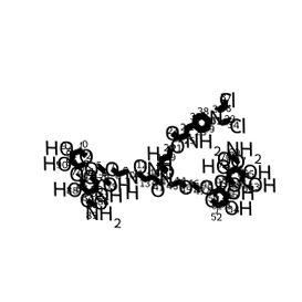 C[C@@H]1O[C@H](OCCOCCNC(=O)CC(NC(=O)CCCOC(=O)[C@H](N)Cc2ccc(N(CCCl)CCCl)cc2)C(=O)NCCOCCO[C@H]2O[C@@H](C)[C@@H](O)[C@H](O)[C@@H]2O[C@H]2O[C@H](CO)[C@@H](O)[C@H](OC(N)=O)[C@@H]2O)[C@@H](O[C@H]2O[C@H](CO)[C@@H](O)[C@H](OC(N)=O)[C@@H]2O)[C@@H](O)[C@@H]1O